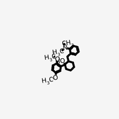 COc1ccc(OC)c(C2(O)CCCCC2Cc2ccccc2N(C)C)c1